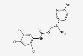 CC(=O)c1ccc(N(N)CSC(=S)Nc2cc(Cl)c(Cl)cc2Cl)cn1